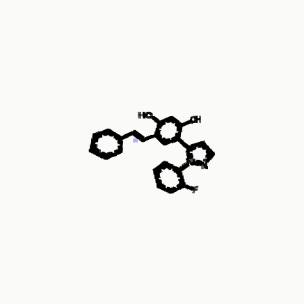 Oc1cc(O)c(-c2ccnn2-c2ccccc2F)cc1/C=C/c1ccccc1